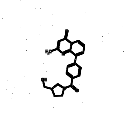 O=C(c1ccc(-c2cccn3c(=O)cc(C(F)(F)F)nc23)cc1)N1CCC(CO)C1